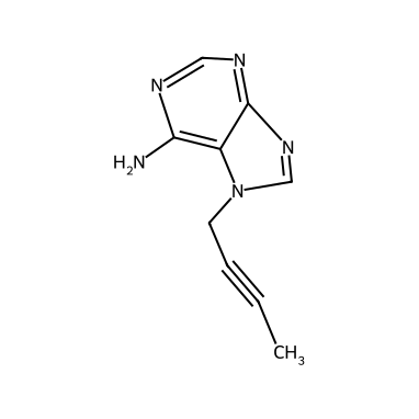 CC#CCn1cnc2ncnc(N)c21